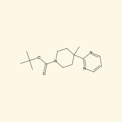 CC(C)(C)OC(=O)N1CCC(C)(c2ncccn2)CC1